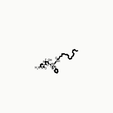 CC/C=C\C/C=C\C/C=C\C/C=C\C/C=C\CCCC(=O)NCCNP(=O)(OC[C@H]1O[C@@H](n2ccc(N)nc2=O)C(F)(F)[C@@H]1O)Oc1ccccc1